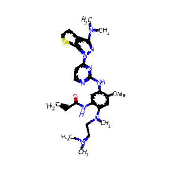 C=CC(=O)Nc1cc(Nc2nccc(-n3nc(N(C)C)c4ccsc43)n2)c(OC)cc1N(C)CCN(C)C